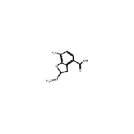 COC1Cc2c(C(=O)O)ccc(C)c2O1